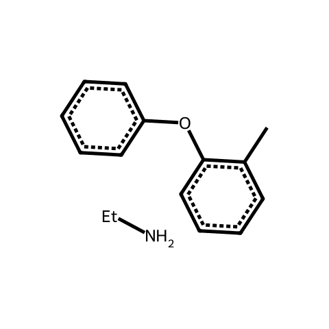 CCN.Cc1ccccc1Oc1ccccc1